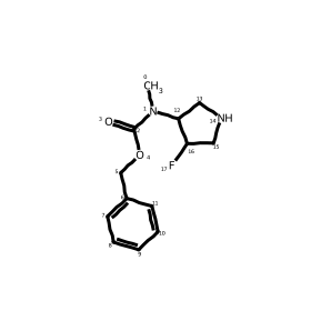 CN(C(=O)OCc1ccccc1)C1CNCC1F